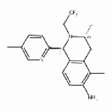 Cc1ccc([C@@H]2c3ccc(N)c(C)c3C[C@@H](C)N2CC(F)(F)F)nc1